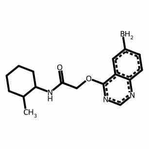 Bc1ccc2ncnc(OCC(=O)NC3CCCCC3C)c2c1